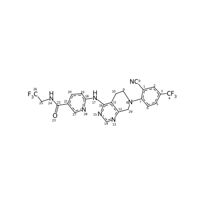 N#Cc1cc(C(F)(F)F)ccc1N1CCc2c(ncnc2Nc2ccc(C(=O)NCC(F)(F)F)cn2)C1